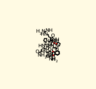 CC[C@H](C)[C@H](NC(=O)[C@H](CCC(N)=O)NC(=O)[C@@H]1CCCN1C(=O)[C@H](CCCNC(=N)N)NC(=O)[C@@H]1CCCN1C(=O)[C@H](Cc1c[nH]c2ccccc12)NC(=O)[C@@H]1CCC(=O)N1)C(=O)N1CCC[C@H]1C(N)=O